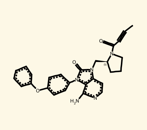 CC#CC(=O)N1CCC[C@H]1Cn1c(=O)n(-c2ccc(Oc3ccccc3)cc2)c2c(N)nccc21